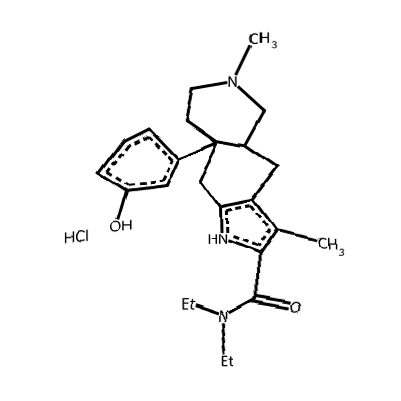 CCN(CC)C(=O)c1[nH]c2c(c1C)CC1CN(C)CCC1(c1cccc(O)c1)C2.Cl